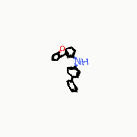 C1=CC(c2ccccc2)CC=C1Nc1ccc2oc3ccccc3c2c1